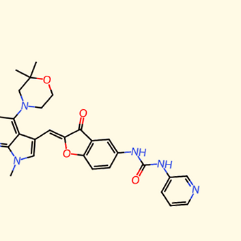 Cn1cc(C=C2Oc3ccc(NC(=O)Nc4cccnc4)cc3C2=O)c2c(N3CCOC(C)(C)C3)ccnc21